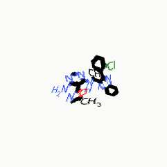 Cc1cnc(-c2c(N)ncnc2NC(C)c2nc3ccccc3nc2-c2ccccc2Cl)o1